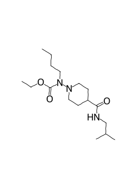 CCCCN(C(=O)OCC)N1CCC(C(=O)NCC(C)C)CC1